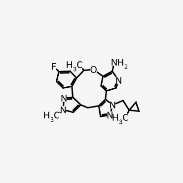 CC1Oc2cc(cnc2N)-c2c(cnn2CC2(C)CC2)Cc2cn(C)nc2-c2ccc(F)cc21